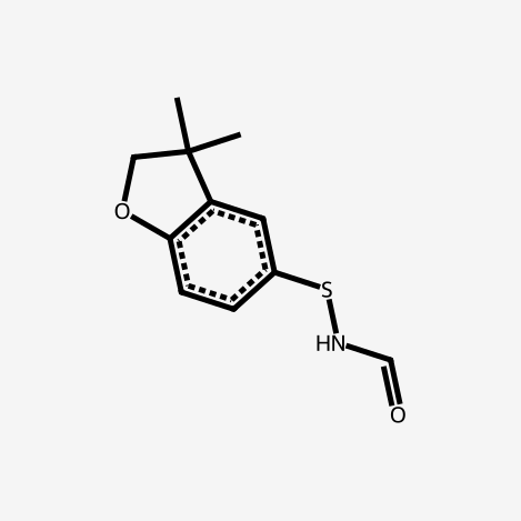 CC1(C)COc2ccc(SNC=O)cc21